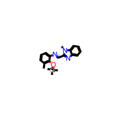 Cc1cccc(/N=C/c2nc3ccccc3n2C)c1O[Si](C)(C)C